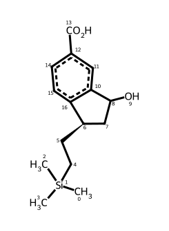 C[Si](C)(C)CC[C@@H]1CC(O)c2cc(C(=O)O)ccc21